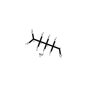 [Na+].[O-]CC(F)(F)C(F)(F)C(F)(F)C(F)F